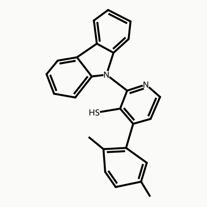 Cc1ccc(C)c(-c2ccnc(-n3c4ccccc4c4ccccc43)c2S)c1